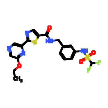 CCOc1cncc(-c2ncc(C(=O)NCc3cccc(NS(=O)(=O)C(F)F)c3)s2)n1